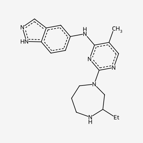 CCC1CN(c2ncc(C)c(Nc3ccc4[nH]ncc4c3)n2)CCCN1